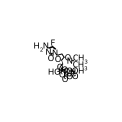 CC(C)=NO[C@@H]1C[C@H](n2cc(F)c(N)nc2=O)O[C@@H]1COP(=O)(O)OP(=O)(O)OP(=O)(O)O